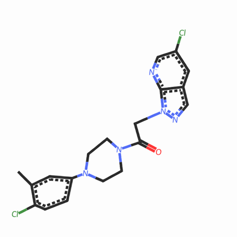 Cc1cc(N2CCN(C(=O)Cn3ncc4cc(Cl)cnc43)CC2)ccc1Cl